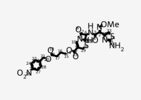 CON=C(C(=O)NC1C(=O)N2C=C(C(=O)OCCCC(=O)OCc3ccc([N+](=O)[O-])cc3)CS[C@H]12)c1csc(N)n1